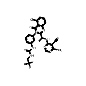 CC(Nc1ncnc(N)c1C#N)c1nc2cccc(Cl)c2c(=O)n1-c1cccc(NC(=O)NCC(F)(F)F)c1